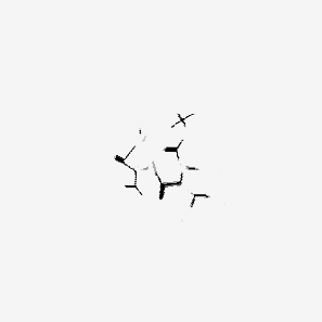 CNC(=O)[C@@H](NC(=O)[C@H](C(C)C)N(C)C(=O)OC(C)(C)C)C(C)C